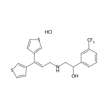 Cl.OC(CNCC=C(c1ccsc1)c1ccsc1)c1cccc(C(F)(F)F)c1